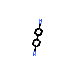 N#Cc1ccc(-c2ccc(C#N)cc2)cc1